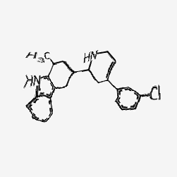 CC1CC(C2CC(c3cccc(Cl)c3)=CCN2)Cc2c1[nH]c1ccccc21